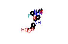 Cc1cc(-c2nc3ccc(F)cc3n2-c2cccc3c2OC[C@H]3Nc2ccc3c(c2)CO[C@H]3CC(=O)O)no1